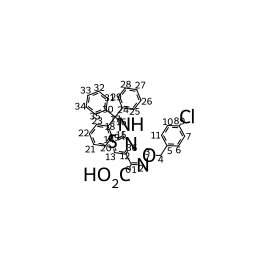 O=C(O)/C(=N/OCc1ccc(Cl)cc1)c1csc(NC(c2ccccc2)(c2ccccc2)c2ccccc2)n1